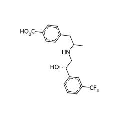 CC(Cc1ccc(C(=O)O)cc1)NC[C@@H](O)c1cccc(C(F)(F)F)c1